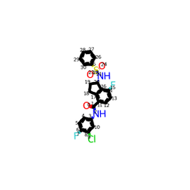 O=C(Nc1ccc(F)c(Cl)c1)c1ccc(F)c2c1CC[C@@H]2NS(=O)(=O)c1ccccc1